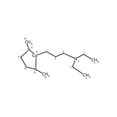 CCN(CC)CC[CH2][Ga]1[N](C)CC[N]1C